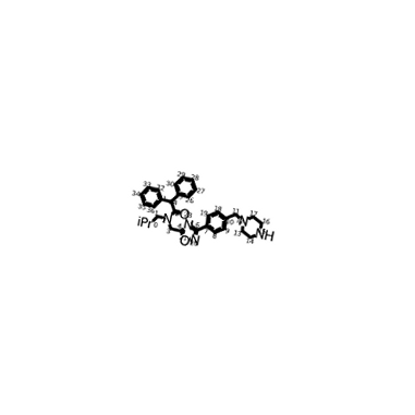 CC(C)CN(Cc1nc(-c2ccc(CN3CCNCC3)cc2)no1)C(=O)C(c1ccccc1)c1ccccc1